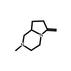 C=C1CCC2CN(C)CCN12